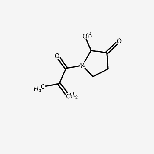 C=C(C)C(=O)N1CCC(=O)C1O